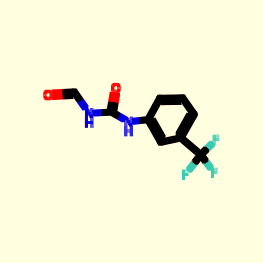 O=CNC(=O)Nc1cccc(C(F)(F)F)c1